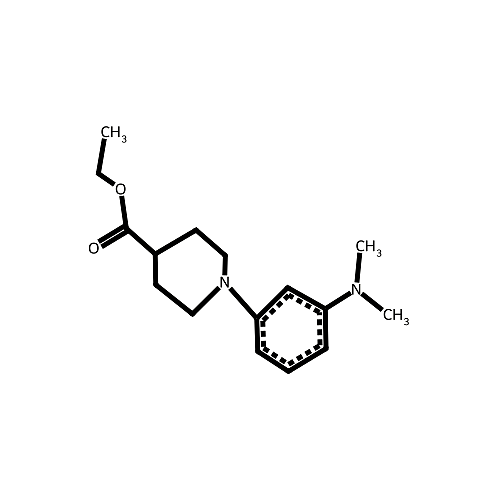 CCOC(=O)C1CCN(c2cccc(N(C)C)c2)CC1